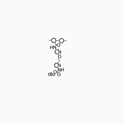 Cc1ccc(-c2ccc(C)cc2C(=O)Nc2ccc(OCCc3cccc(NC(=O)OC(C)(C)C)n3)nc2)cc1